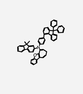 CC1(C)c2ccccc2-c2ccc(N(C3=CCC=Cc4c3oc3ccccc43)c3ccc(-c4cccc5c4-c4ccccc4C5(c4ccccc4)c4ccccc4)cc3)cc21